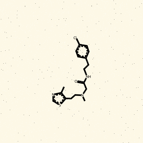 Cc1ncsc1CCN(C)CC(=O)NCCc1ccc(Cl)cc1